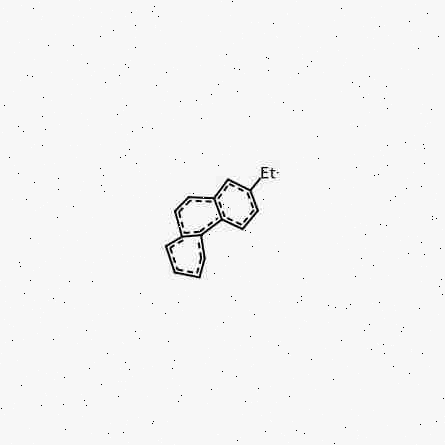 C[CH]c1ccc2c(ccc3ccccc32)c1